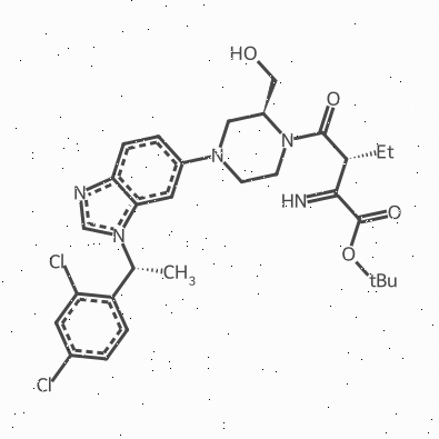 CC[C@H](C(=N)C(=O)OC(C)(C)C)C(=O)N1CCN(c2ccc3ncn([C@H](C)c4ccc(Cl)cc4Cl)c3c2)C[C@H]1CO